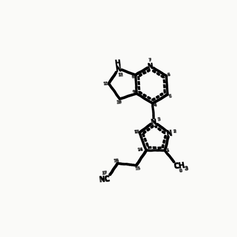 Cc1nn(-c2ccnc3c2CCN3)cc1CCC#N